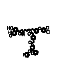 O=C(Cc1ccc(CC(=O)N(CCCNCC(O)c2ccc(O)c3[nH]c(=O)ccc23)Cc2cccc(Oc3ccc(Cl)c(Cl)c3)c2)cc1)N1CCC(C(=O)OC2CN3CCC2CC3)(c2ccccc2)CC1